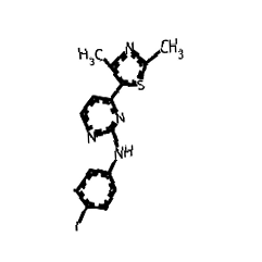 Cc1nc(C)c(-c2ccnc(Nc3ccc(I)cc3)n2)s1